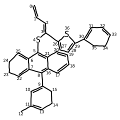 C=C/C=C(\Sc1c2c(c(C3=CC(C)=CCC3)c3ccccc13)=CCCC=2)c1ccc(C2=CC=CCC2)s1